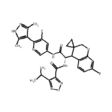 Cc1n[nH]c(C)c1-c1ncc(NC(=O)[C@@H](NC(=O)c2nonc2C(C)C)C2c3ccc(F)cc3OCC23CC3)cc1F